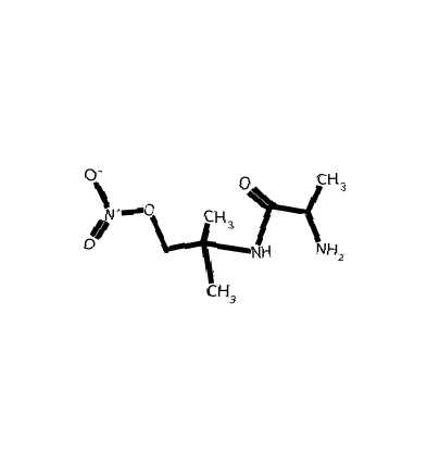 CC(N)C(=O)NC(C)(C)CO[N+](=O)[O-]